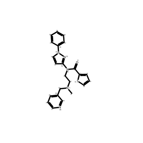 CN(CCN(C(=O)c1cccs1)c1ccn(-c2ccccc2)n1)Cc1cccnc1